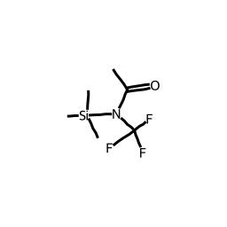 CC(=O)N(C(F)(F)F)[Si](C)(C)C